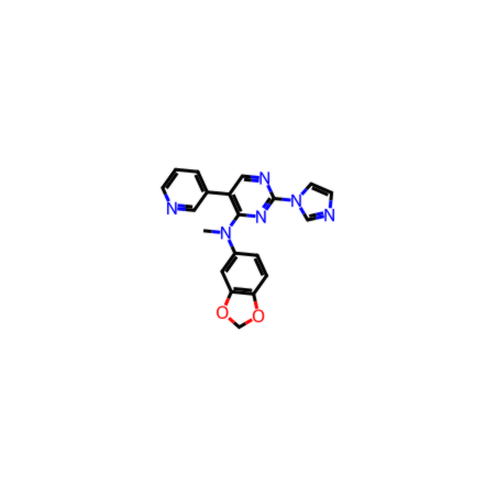 CN(c1ccc2c(c1)OCO2)c1nc(-n2ccnc2)ncc1-c1cccnc1